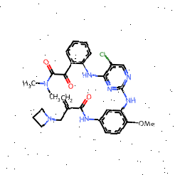 C=C(CN1CCC1)C(=O)Nc1ccc(OC)c(Nc2ncc(Cl)c(Nc3ccccc3C(=O)C(=O)N(C)C)n2)c1